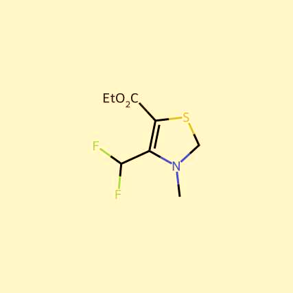 CCOC(=O)C1=C(C(F)F)N(C)CS1